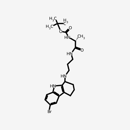 C[C@@H](NC(=O)OC(C)(C)C)C(=O)NCCCNC1CCCc2c1[nH]c1ccc(Br)cc21